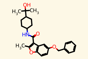 Cc1oc2ccc(OCc3ccccc3)cc2c1C(=O)NC1CCC(C(C)(C)O)CC1